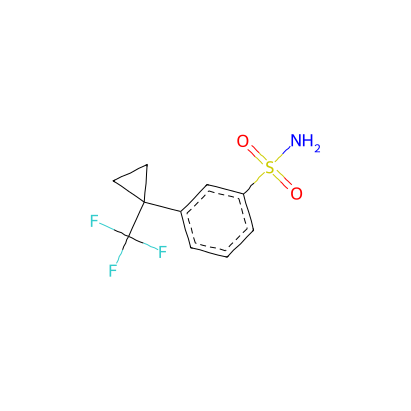 NS(=O)(=O)c1cccc(C2(C(F)(F)F)CC2)c1